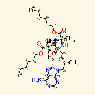 CC(C)CCCCCOC(=O)C(C)(C)NP(=O)(CO[C@H](C)Cn1cnc2c(N)ncnc21)NC(C)(C)C(=O)OCCCCCC(C)C